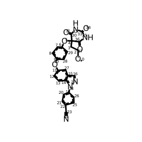 COCCC1(Oc2ccc(Oc3ccc4c(cnn4-c4ccc(C#N)cc4)c3)cc2)C(=O)NC(=O)NC1=O